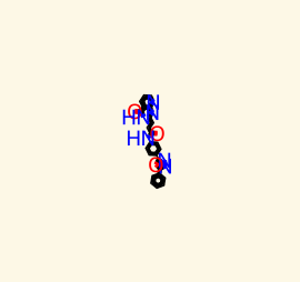 O=C(CCc1nc2ncccc2c(=O)[nH]1)N[C@H]1CC[C@H](c2nnc(-c3ccccc3)o2)CC1